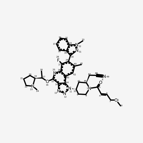 COC/C=C/C(=O)N1CC[C@H](n2nnc3c(OC(C)[C@@H]4CCCN4C)nc4c(F)c(-c5nn(C)c6ccccc56)c(C)cc4c32)C[C@H]1CC#N